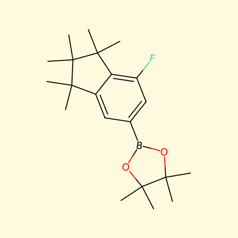 CC1(C)OB(c2cc(F)c3c(c2)C(C)(C)C(C)(C)C3(C)C)OC1(C)C